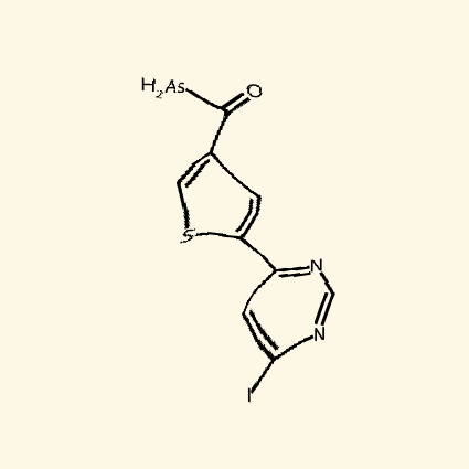 O=C([AsH2])c1csc(-c2cc(I)ncn2)c1